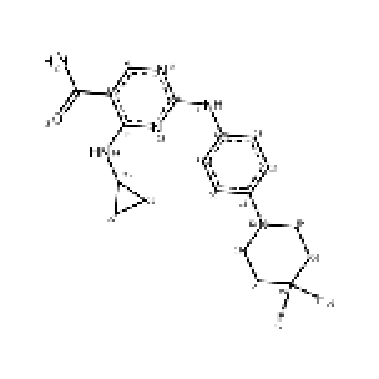 NC(=O)c1cnc(Nc2ccc(N3CCC(F)(F)CC3)cc2)nc1NC1CC1